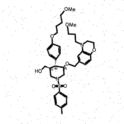 COCCCCOc1ccc([C@H]2[C@H](CO)CN(S(=O)(=O)c3ccc(C)cc3)C[C@@H]2OCc2ccc3c(c2)N(CCCOC)CCO3)cc1